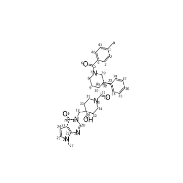 Cc1ccc(C(=O)N2CC[C@@H](C(=O)N3CCC(O)(Cn4cnc5c(ccn5C)c4=O)CC3)[C@H](c3ccccc3)C2)cc1